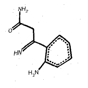 N=C(CC(N)=O)c1ccccc1N